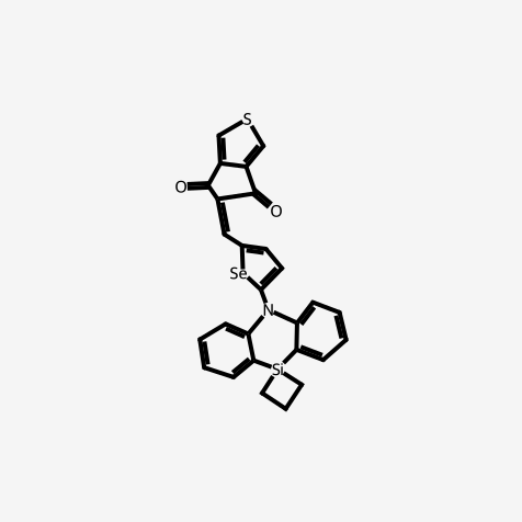 O=C1C(=Cc2ccc(N3c4ccccc4[Si]4(CCC4)c4ccccc43)[se]2)C(=O)c2cscc21